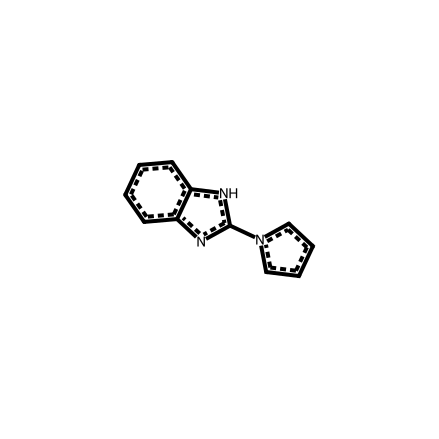 c1ccc2[nH]c(-n3cccc3)nc2c1